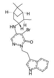 C[C@@H]1[C@H]2C[C@@H](C[C@H]1Nc1cnn(CCc3c[nH]c4ccccc34)c(=O)c1Br)C2(C)C